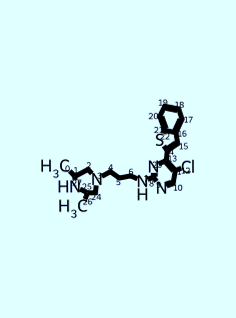 CC1CN(CCCNc2ncc(Cl)c(-c3cc4ccccc4s3)n2)CC(C)N1